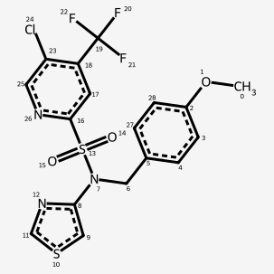 COc1ccc(CN(c2cscn2)S(=O)(=O)c2cc(C(F)(F)F)c(Cl)cn2)cc1